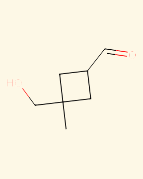 CC1(CO)CC(C=O)C1